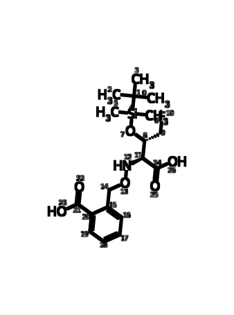 CC(C)(C)[Si](C)(C)O[C@H](CF)[C@H](NOCc1ccccc1C(=O)O)C(=O)O